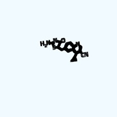 N#Cc1cnc2ccc(CC3SC(N)=NC3=O)cc2c1C1CC1